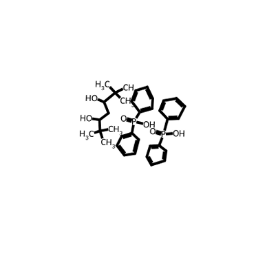 CC(C)(C)C(O)CC(O)C(C)(C)C.O=P(O)(c1ccccc1)c1ccccc1.O=P(O)(c1ccccc1)c1ccccc1